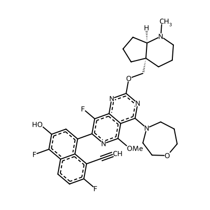 C#Cc1c(F)ccc2c(F)c(O)cc(-c3nc(OC)c4c(N5CCCOCC5)nc(OC[C@]56CCC[C@H]5N(C)CCC6)nc4c3F)c12